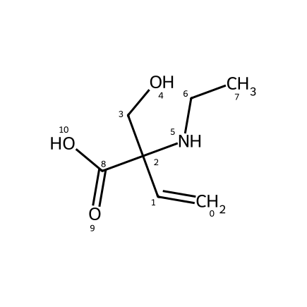 C=CC(CO)(NCC)C(=O)O